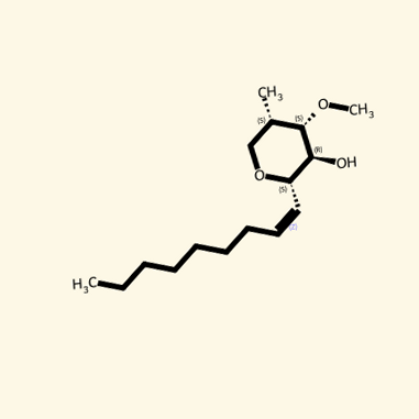 CCCCCCC/C=C\[C@@H]1OC[C@H](C)[C@H](OC)[C@H]1O